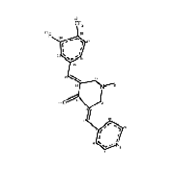 CN1C/C(=C\c2ccncc2)C(=O)/C(=C/c2ccc(C(F)(F)F)c(F)c2)C1